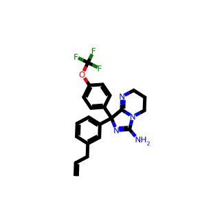 C=CCc1cccc(C2(c3ccc(OC(F)(F)F)cc3)N=C(N)N3CCCN=C32)c1